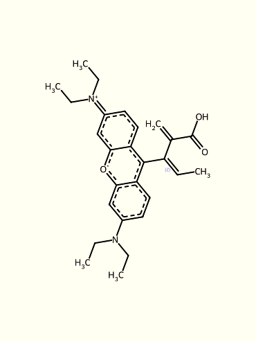 C=C(C(=O)O)/C(=C\C)c1c2ccc(=[N+](CC)CC)cc-2oc2cc(N(CC)CC)ccc12